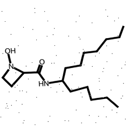 CCCCCCCC(CCCCC)NC(=O)C1CCN1O